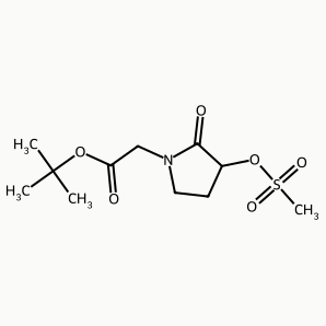 CC(C)(C)OC(=O)CN1CCC(OS(C)(=O)=O)C1=O